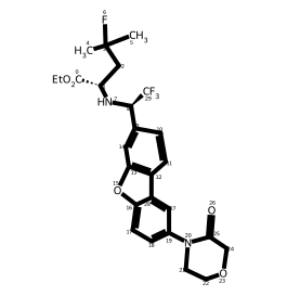 CCOC(=O)[C@H](CC(C)(C)F)N[C@H](c1ccc2c(c1)oc1ccc(N3CCOCC3=O)cc12)C(F)(F)F